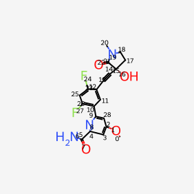 COc1cc(C(N)=O)nc(-c2cc(C#C[C@]3(O)CCN(C)C3=O)c(F)cc2F)c1